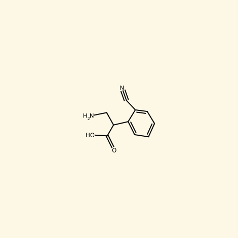 N#Cc1ccccc1C(CN)C(=O)O